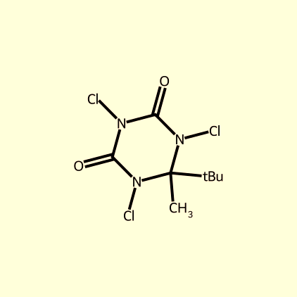 CC(C)(C)C1(C)N(Cl)C(=O)N(Cl)C(=O)N1Cl